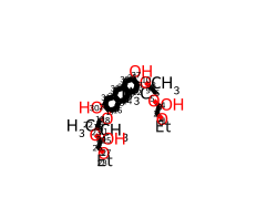 CCOCC(O)OCC(C)(C)Oc1cc2cc3cc(OCC(C)(C)OC(O)COCC)c(O)cc3cc2cc1O